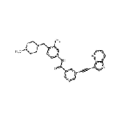 Cc1cc(NC(=O)c2cncc(C#Cc3cnc4cccnn34)c2)ccc1CN1CCN(C)CC1